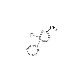 Fc1cc(C(F)(F)F)ccc1-c1c[c]ccc1